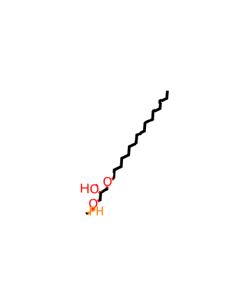 CCCCCCCCCCCCCCCCOCC(O)COPC